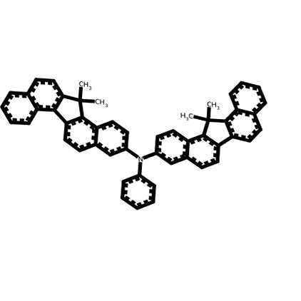 CC1(C)c2ccc3ccccc3c2-c2ccc3cc(N(c4ccccc4)c4ccc5c6c(ccc5c4)-c4ccc5ccccc5c4C6(C)C)ccc3c21